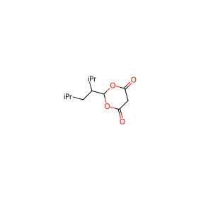 CC(C)CC(C(C)C)C1OC(=O)CC(=O)O1